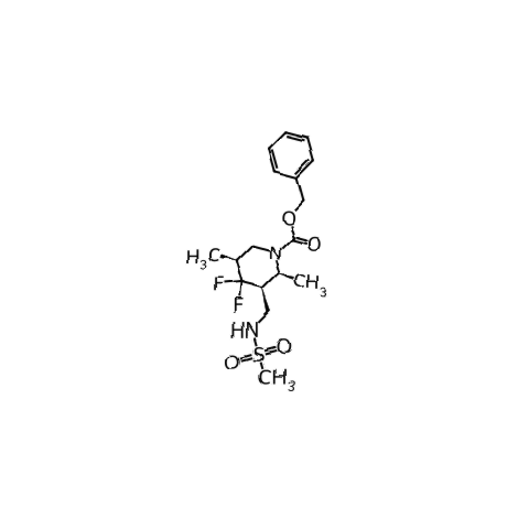 C[C@H]1[C@@H](CNS(C)(=O)=O)C(F)(F)[C@@H](C)CN1C(=O)OCc1ccccc1